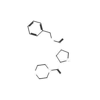 O=C(OCc1ccccc1)[C@@H]1CN[C@H](C(=O)N2CCOCC2)C1